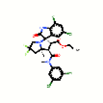 CC(=O)OCOC(=O)C1[C@@H](C(=O)N(C)c2cc(Cl)cc(Cl)c2)[C@H]2CC(F)(F)CN2[C@]12C(=O)Nc1c(Cl)cc(Cl)cc12